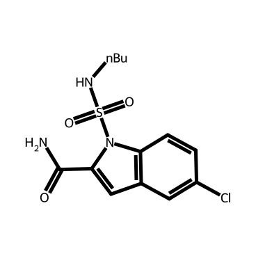 CCCCNS(=O)(=O)n1c(C(N)=O)cc2cc(Cl)ccc21